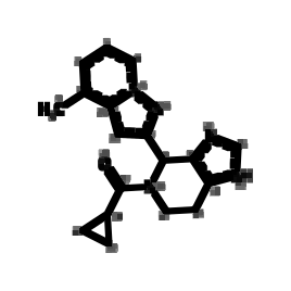 Cc1cccn2nc(C3c4nc[nH]c4CCN3C(=O)C3CC3)cc12